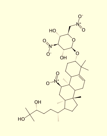 C[C@H](CC[C@@H](O)C(C)(C)O)C1CC[C@@]2(C)C3CC=C4C(CC[C@H](O[C@@H]5O[C@H](C[N+](=O)[O-])[C@@H](O)[C@H]([N+](=O)[O-])[C@H]5O)C4(C)C)[C@]3(C)[C@H]([N+](=O)[O-])C[C@]12C